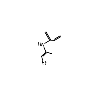 C=CC(=C)N/C(C)=C/CC